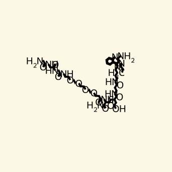 CCc1nc2c(N)nc3ccccc3c2n1CCCCNC(=O)CCNC(=O)C(CC(=O)O)SCC(NC(=O)CCOCCOCCOCCOCCNC(=O)CNC(=O)CNC(=O)CN)C(N)=O